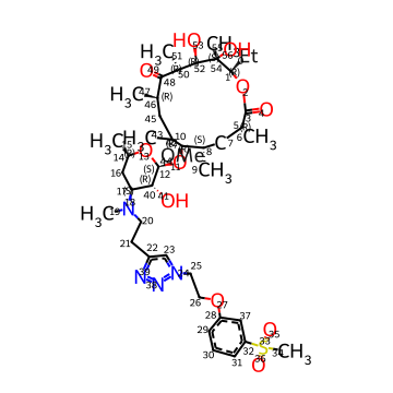 CC[C@H]1OC(=O)[C@H](C)C[C@H](C)[C@@H](O[C@@H]2O[C@H](C)C[C@H](N(C)CCc3cn(CCOc4cccc(S(C)(=O)=O)c4)nn3)[C@H]2O)[C@](C)(OC)C[C@@H](C)C(=O)[C@H](C)[C@@H](O)[C@]1(C)O